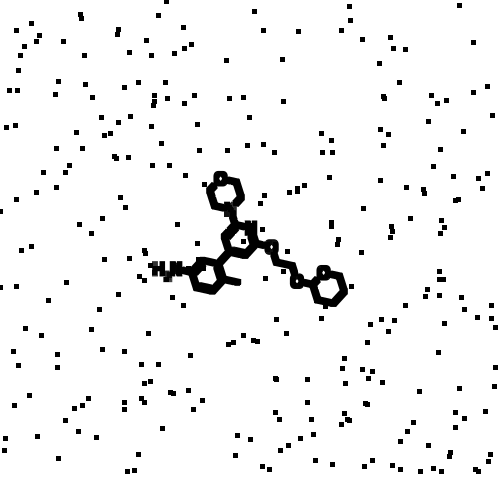 Cc1ccc(N)cc1-c1cc(OCCOC2CCCCO2)nc(N2CCOCC2)c1